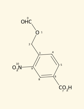 O=COCc1ccc(C(=O)O)cc1[N+](=O)[O-]